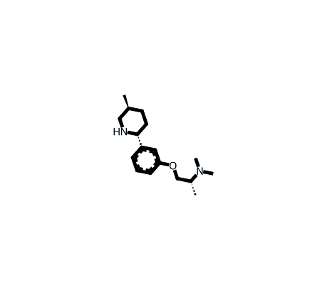 C[C@H]1CC[C@H](c2cccc(OC[C@@H](C)N(C)C)c2)NC1